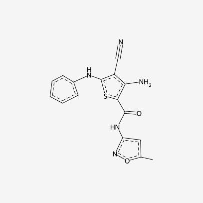 Cc1cc(NC(=O)c2sc(Nc3ccccc3)c(C#N)c2N)no1